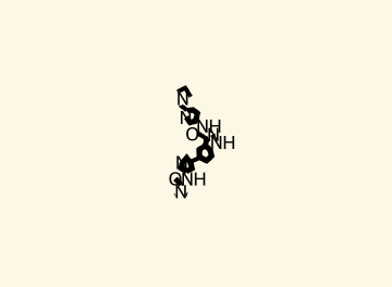 CN(C)C(=O)Nc1cncc(-c2ccc3[nH]nc(C(=O)Nc4ccc(CN5CCC5)nc4)c3c2)c1